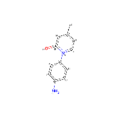 Cc1ccn(-c2ccc(N)cc2)c(=O)c1